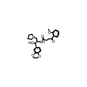 COc1ccccc1C(=O)CCC(=O)NC(CN1CCCC1)C(O)c1ccc2c(c1)OCCO2